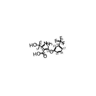 Cn1nc(C(C)(C)O)c(C(=O)O)c1Oc1cccc(C(F)(F)F)c1